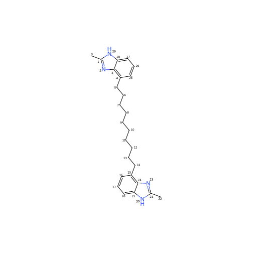 Cc1nc2c(CCCCCCCCCCc3cccc4[nH]c(C)nc34)cccc2[nH]1